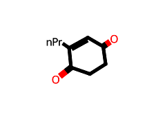 CCCC1=CC(=O)CCC1=O